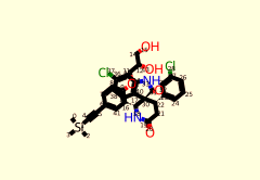 C[Si](C)(C)C#Cc1ccc(OCC(O)CO)c([C@H]2NC(=O)C[C@@H](c3cccc(Cl)c3)[C@]23C(=O)Nc2cc(Cl)ccc23)c1